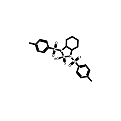 Cc1ccc(S(=O)(=O)N2C3CCCCC3N(S(=O)(=O)c3ccc(C)cc3)P2(O)=S)cc1